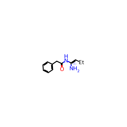 CC/C=C(\N)NC(=O)Cc1ccccc1